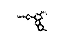 CNC1CN(c2nc(N)nc3c2oc2ccc(C)cc23)C1